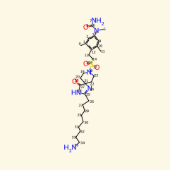 Cc1cc(N(C)C(N)=O)cc(C)c1CCS(=O)(=O)N1CCC2(CC1)N=C(CCCCCCCCCN)NC2=O